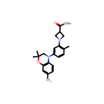 COC(=O)C1CN(c2cc(N3CC(C)(C)Oc4cc(C(F)(F)F)ccc43)ccc2C)C1